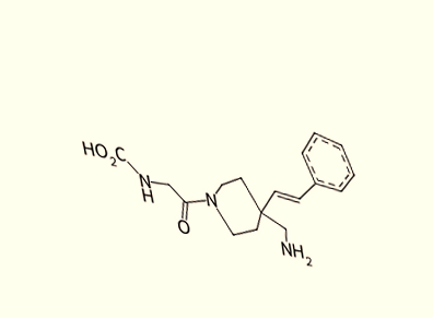 NCC1(C=Cc2ccccc2)CCN(C(=O)CNC(=O)O)CC1